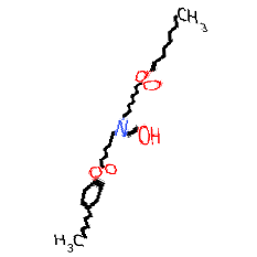 CCCCCCCCCOC(=O)CCCCCCCN(CCO)CCCCCC(=O)OC1CCC(CCCCCC)CC1